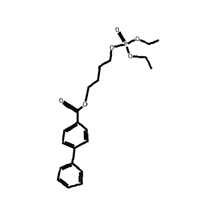 CCOP(=O)(OCC)OCCCCOC(=O)c1ccc(-c2ccccc2)cc1